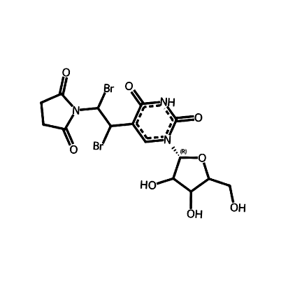 O=C1CCC(=O)N1C(Br)C(Br)c1cn([C@@H]2OC(CO)C(O)C2O)c(=O)[nH]c1=O